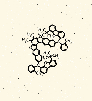 Cc1ccccc1N(c1ccc2cc3c(cc2c1)oc1c(C)c(C)c2oc4cc5cc(N(c6ccccc6C)c6cccc7c6oc6c(C(C)(C)C)cccc67)ccc5cc4c2c13)c1cccc2c1oc1c(C(C)(C)C)cccc12